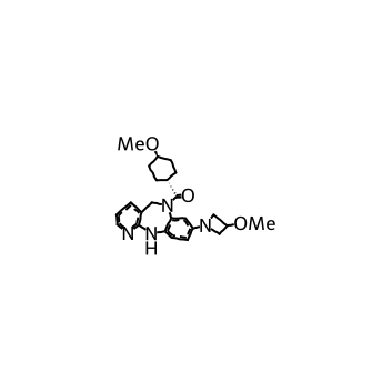 COC1CN(c2ccc3c(c2)N(C(=O)[C@H]2CC[C@H](OC)CC2)Cc2cccnc2N3)C1